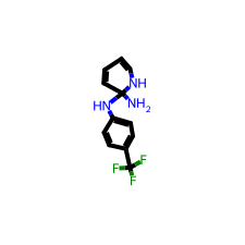 NC1(Nc2ccc(C(F)(F)F)cc2)C=CC=CN1